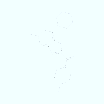 CN1CCN(C(=O)c2cc3nc(Cl)cc(N4CCOCC4)c3s2)CC1